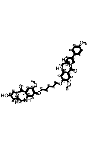 COc1ccc(C2=CN3C(=O)c4cc(OC)c(OCCCCCOc5cc6c(cc5OC)C(=O)N5C[C@H](O)C[C@H]5CN6)cc4NC[C@@H]3C2)cc1